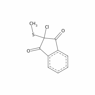 CSC1(Cl)C(=O)c2ccccc2C1=O